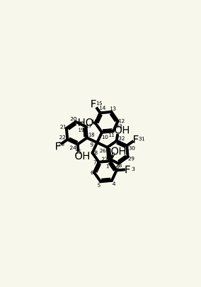 Oc1c(F)cccc1CC(c1cccc(F)c1O)(c1cccc(F)c1O)c1cccc(F)c1O